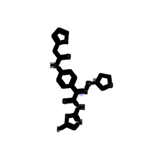 O=C(Cc1cccs1)Nc1ccc(/C(=N\O[C@@H]2CCOC2)C(=O)Nc2ncc(F)s2)cc1